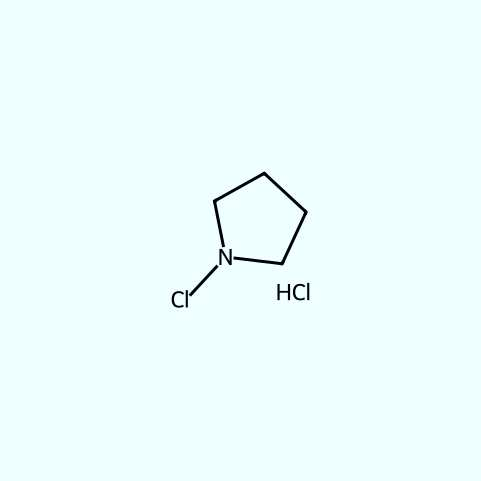 Cl.ClN1CCCC1